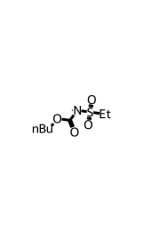 CCCCOC(=O)[N]S(=O)(=O)CC